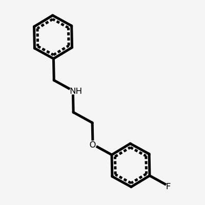 Fc1ccc(OCCNCc2ccccc2)cc1